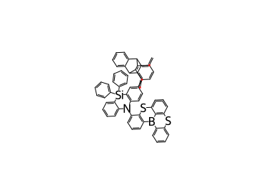 C=CC1=C(C=C)C2c3ccccc3C1c1cccc(-c3ccc4c(c3)[Si](c3ccccc3)(c3ccccc3)c3ccccc3N4c3cccc4c3SC3=C=C=CC5=C3B4c3ccccc3S5)c12